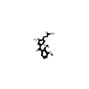 COc1cccc(C(=O)c2ccc(CCC(=O)O)c(N)c2)c1OC